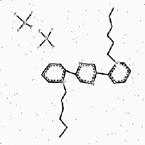 CCCCCC[n+]1ccccc1-c1cnc(-c2cccc[n+]2CCCCCC)cn1.F[B-](F)(F)F.F[B-](F)(F)F